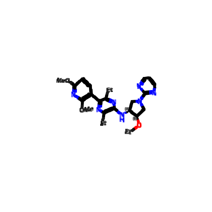 CCO[C@@H]1CN(c2ncccn2)C[C@H]1Nc1nc(CC)c(-c2ccc(OC)nc2OC)nc1CC